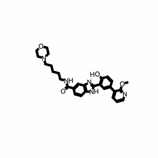 COc1ncccc1-c1ccc(O)c(-c2nc3cc(C(=O)NCCCCCN4CCOCC4)ccc3[nH]2)c1